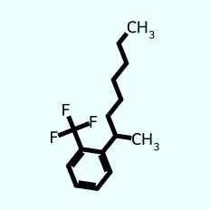 CCCCCCC(C)c1ccccc1C(F)(F)F